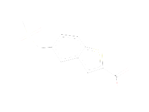 CS(=O)(=O)Cc1ccc2sc(C(=O)O)cc2c1